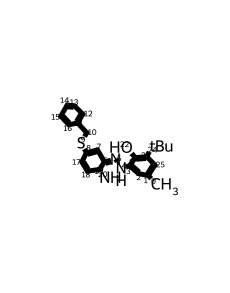 Cc1cc(N/N=C2/C=C(SCc3ccccc3)C=CC2=N)c(O)c(C(C)(C)C)c1